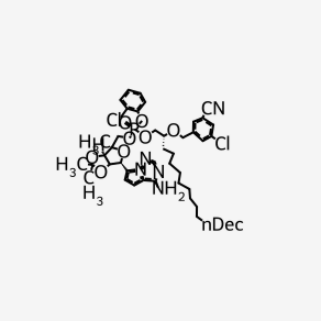 CCCCCCCCCCCCCCCCCCC[C@H](COP(=O)(OC[C@@]1(C)O[C@@H](c2ccc3c(N)ncnn23)C2OC(C)(C)O[C@@H]21)Oc1ccccc1Cl)OCc1cc(Cl)cc(C#N)c1